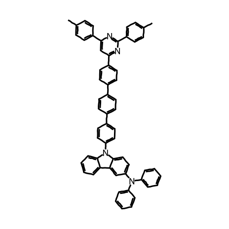 Cc1ccc(-c2cc(-c3ccc(-c4ccc(-c5ccc(-n6c7ccccc7c7cc(N(c8ccccc8)c8ccccc8)ccc76)cc5)cc4)cc3)nc(-c3ccc(C)cc3)n2)cc1